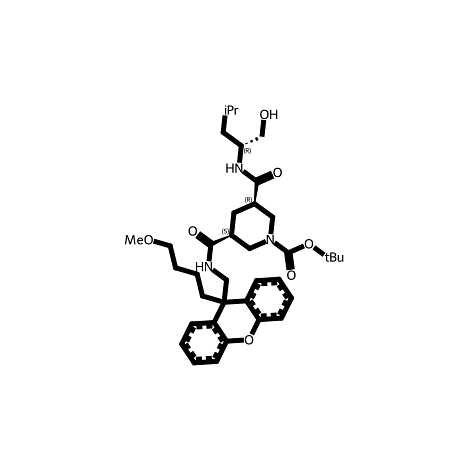 COCCCCC1(CNC(=O)[C@H]2C[C@@H](C(=O)N[C@@H](CO)CC(C)C)CN(C(=O)OC(C)(C)C)C2)c2ccccc2Oc2ccccc21